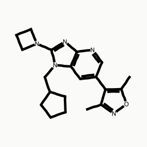 Cc1noc(C)c1-c1cnc2nc(N3CCC3)n(CC3CCCC3)c2c1